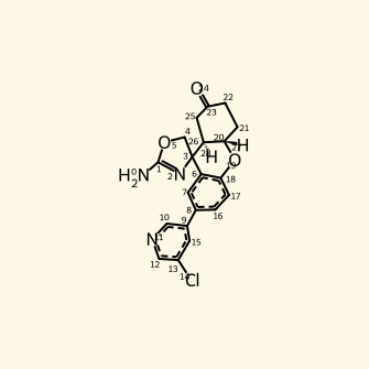 NC1=NC2(CO1)c1cc(-c3cncc(Cl)c3)ccc1O[C@H]1CCC(=O)C[C@@H]12